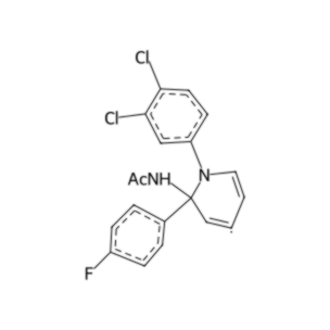 CC(=O)NC1(c2ccc(F)cc2)C=[C]C=CN1c1ccc(Cl)c(Cl)c1